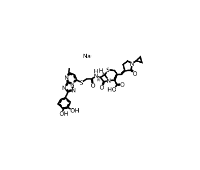 Cc1cc(SCC(=O)N[C@@H]2C(=O)N3C(C(=O)O)=C(C=C4CCN(C5CC5)C4=O)CS[C@H]23)n2nc(-c3ccc(O)c(O)c3)nc2n1.[Na]